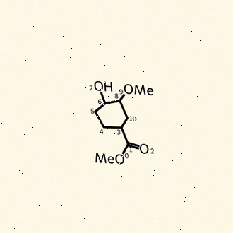 COC(=O)C1CCC(O)C(OC)C1